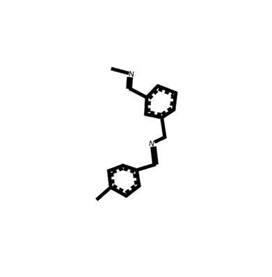 C/N=C/c1cccc(C/N=C/c2ccc(C)cc2)c1